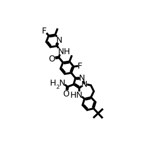 Cc1nc(NC(=O)c2ccc(-c3nn4c(c3C(N)=O)Nc3ccc(C(C)(C)C)cc3CC4)c(F)c2C)ccc1F